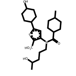 CC(O)CCCN(C(=O)C1CCC(C)CC1)c1cc(C2CCC(O)CC2)sc1C(=O)O